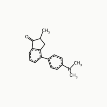 CC1Cc2c(cccc2-c2ccc(N(C)C)cc2)C1=O